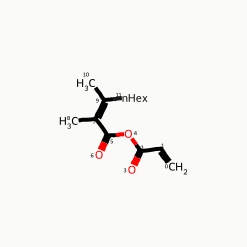 C=CC(=O)OC(=O)C(C)=C(C)CCCCCC